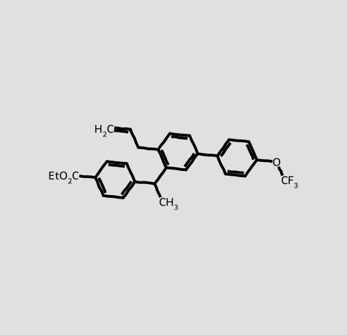 C=CCc1ccc(-c2ccc(OC(F)(F)F)cc2)cc1C(C)c1ccc(C(=O)OCC)cc1